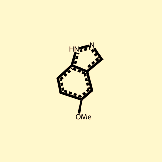 COc1ccc2[nH]n[c]c2c1